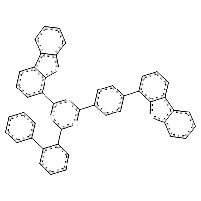 c1ccc(-c2ccccc2-c2nc(-c3ccc(-c4cccc5c4oc4ccccc45)cc3)nc(-c3cccc4c3sc3ccccc34)n2)cc1